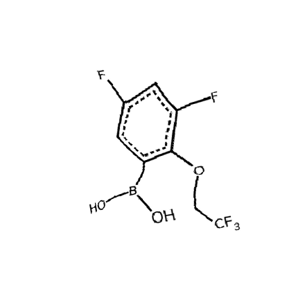 OB(O)c1cc(F)cc(F)c1OCC(F)(F)F